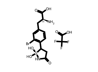 N[C@@H](Cc1ccc(C2CC(=O)NS2(O)O)c(Br)c1)C(=O)O.O=C(O)C(F)(F)F